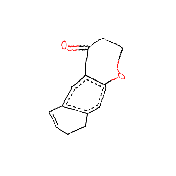 O=C1CCOc2cc3c(cc21)C=CCC3